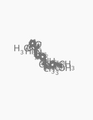 COc1cccc2c1C(Nc1ccc3cc(NC(=O)N(C)C4CCN(CC(C)(C)O)CC4)ccc3n1)CO2